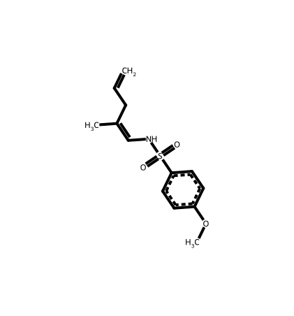 C=CCC(C)=CNS(=O)(=O)c1ccc(OC)cc1